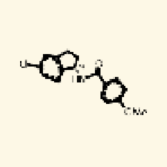 COc1ccc(C(=O)N[C@H]2CCc3cc(Cl)ccc32)cc1